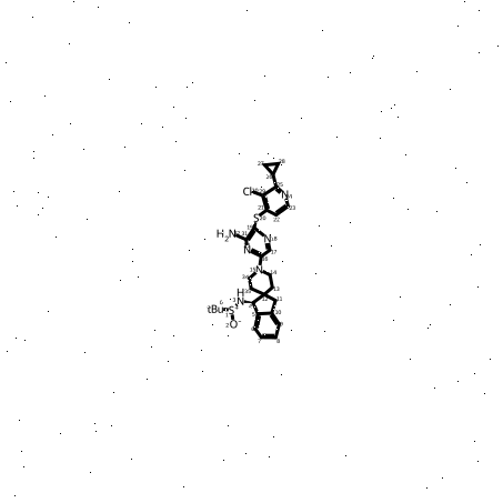 CC(C)(C)[S+]([O-])N[C@@H]1c2ccccc2CC12CCN(c1cnc(Sc3ccnc(C4CC4)c3Cl)c(N)n1)CC2